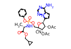 CC(=O)O[C@H]1[C@H](c2ccc3c(N)ncnn23)O[C@](C#N)(COP(=O)(N[C@@H](C)C(=O)OCC2CC2)Oc2ccccc2)[C@H]1OC(C)=O